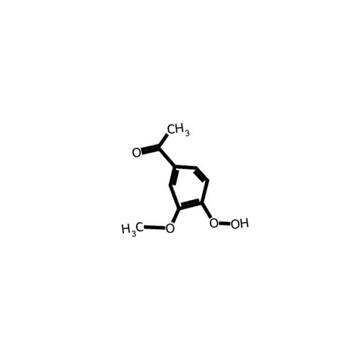 COc1cc(C(C)=O)ccc1OO